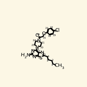 CCCCCc1nc2c(N3CCN(C(=O)COc4ccc(Cl)cc4)CC3)nc(N)nc2s1